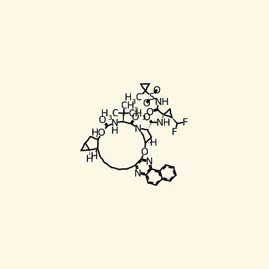 CC(C)(C)[C@@H]1NC(=O)O[C@@H]2CC3C[C@@H]3[C@H]2CCCCCc2nc3ccc4ccccc4c3nc2O[C@@H]2C[C@@H](C(=O)N[C@]3(C(=O)NS(=O)(=O)C4(C)CC4)C[C@H]3C(F)F)N(C2)C1=O